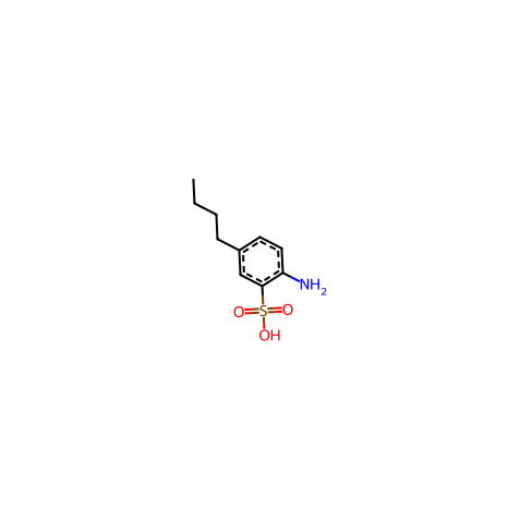 CCCCc1ccc(N)c(S(=O)(=O)O)c1